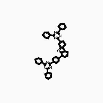 c1ccc(-c2nc(-c3ccccc3)nc(-c3ccc(-c4cccc5c4oc4cc(-c6nc(-c7ccccc7)nc(-c7ccccc7)n6)ccc45)cc3)n2)cc1